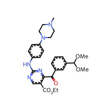 CCOC(=O)c1cnc(Nc2ccc(N3CCN(C)CC3)cc2)nc1C(=O)c1cccc(C(OC)OC)c1